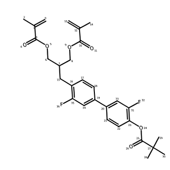 C=C(C)C(=O)OCC(COC(=O)C(=C)C)Cc1ccc(-c2ccc(OC(=O)C(C)(C)C)c(F)c2)cc1F